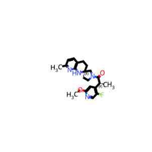 COc1cc([C@@H](C)C(=O)N2CC[C@]3(CCc4ccc(C)nc4N3)C2)c(F)cn1